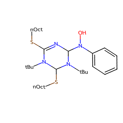 CCCCCCCCSC1=NC(N(O)c2ccccc2)N(C(C)(C)C)C(SCCCCCCCC)N1C(C)(C)C